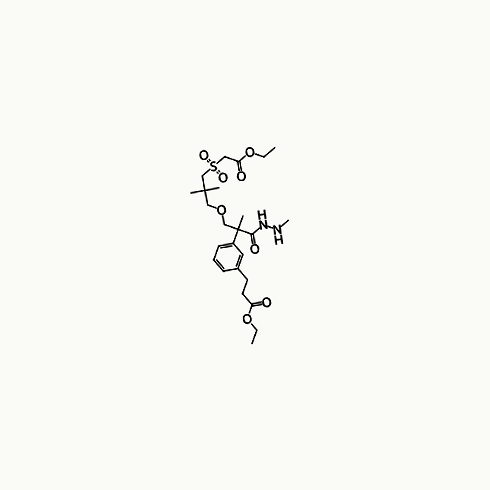 CCOC(=O)CCc1cccc(C(C)(COCC(C)(C)CS(=O)(=O)CC(=O)OCC)C(=O)NNC)c1